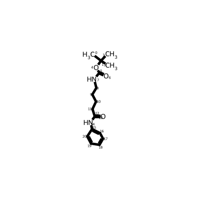 CC(C)(C)OC(=O)NCCCCC(=O)Nc1ccccc1